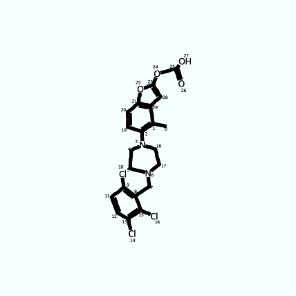 Cc1c(N2CCN(Cc3c(Cl)ccc(Cl)c3Cl)CC2)ccc2oc(OC(=O)O)cc12